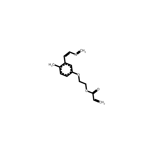 C=CC(=O)OCCOc1ccc(C)c(/C=C\N=C)c1